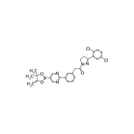 C=C1OB(c2cnc(-c3cccc(CC(=O)N4CCC(c5cc(Cl)ccc5Cl)=N4)c3)nc2)OC1(C)C